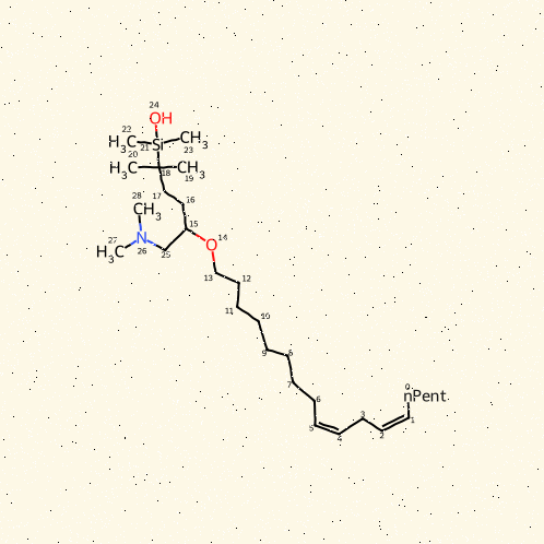 CCCCC/C=C\C/C=C\CCCCCCCCOC(CCC(C)(C)[Si](C)(C)O)CN(C)C